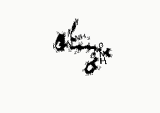 CC(C)NC(=O)N(CCCCCCN(C(N)=NC#N)c1ccncc1)OCC1CCCCC1